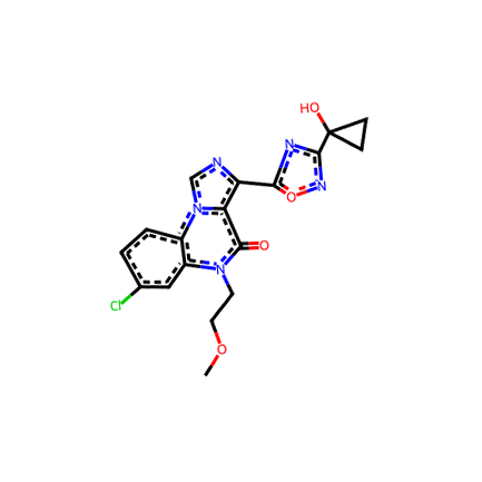 COCCn1c(=O)c2c(-c3nc(C4(O)CC4)no3)ncn2c2ccc(Cl)cc21